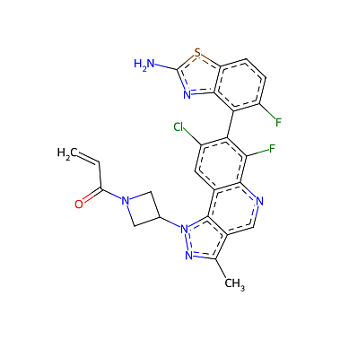 C=CC(=O)N1CC(n2nc(C)c3cnc4c(F)c(-c5c(F)ccc6sc(N)nc56)c(Cl)cc4c32)C1